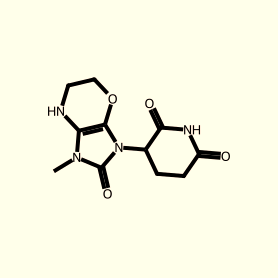 Cn1c2c(n(C3CCC(=O)NC3=O)c1=O)OCCN2